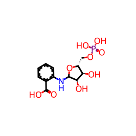 O=C(O)c1ccccc1NC1O[C@H](COP(=O)(O)O)[C@@H](O)[C@H]1O